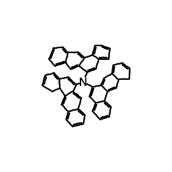 C1=CCC2C=c3c(c(N(C4=CC5=CC=CCC5c5cc6ccccc6cc54)c4cc5ccccc5c5cc6ccccc6cc45)cc4ccccc34)=CC2=C1